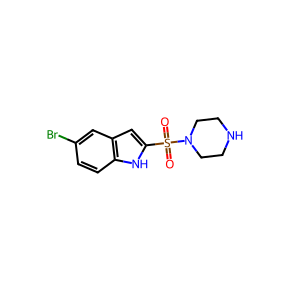 O=S(=O)(c1cc2cc(Br)ccc2[nH]1)N1CCNCC1